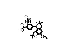 CCOc1cc2c(c3c1OC(C)(C)C3)C(c1ccc(C(=O)O)c(NC(C)=O)c1)=NC(C)(C)C2